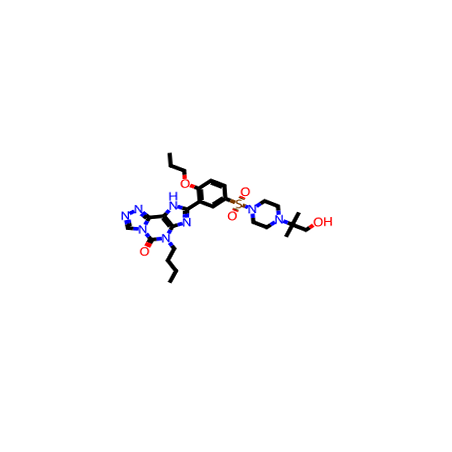 CCCCn1c(=O)n2cnnc2c2[nH]c(-c3cc(S(=O)(=O)N4CCN(C(C)(C)CO)CC4)ccc3OCCC)nc21